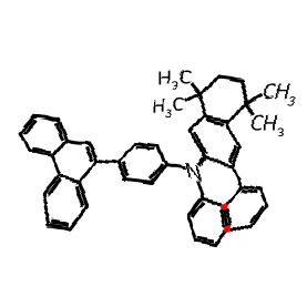 CC1(C)CCC(C)(C)c2cc(N(c3ccccc3)c3ccc(-c4cc5ccccc5c5ccccc45)cc3)c(-c3ccccc3)cc21